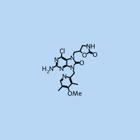 COc1c(C)cnc(Cn2c(=O)n(CC3CNC(=O)O3)c3c(Cl)nc(N)nc32)c1C